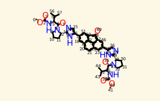 COC(=O)N[C@H](C(=O)N1CCC[C@H]1c1ncc(-c2cc3ccc4cc(-c5cnc([C@@H]6CCCN6C(=O)[C@@H](NC(=O)OC)C(C)C)[nH]5)cc5c(=O)c(c2)c3c45)[nH]1)C(C)C